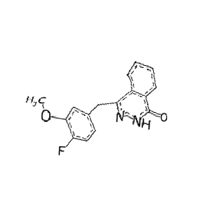 COc1cc(Cc2n[nH]c(=O)c3ccccc23)ccc1F